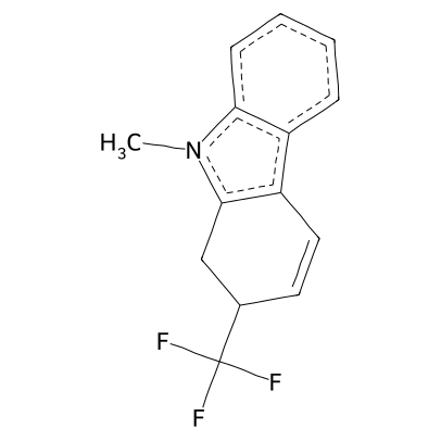 Cn1c2c(c3ccccc31)C=CC(C(F)(F)F)C2